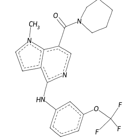 Cn1ccc2c(Nc3cccc(OC(F)(F)F)c3)ncc(C(=O)N3CCCCC3)c21